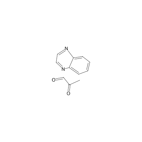 CC(=O)C=O.c1ccc2nccnc2c1